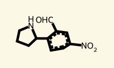 O=Cc1cc([N+](=O)[O-])ccc1C1CCCN1